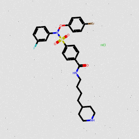 Cl.O=C(NCCCCC1CCNCC1)c1ccc(S(=O)(=O)N(Oc2ccc(Br)cc2)c2cccc(F)c2)cc1